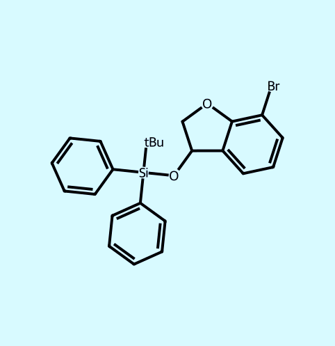 CC(C)(C)[Si](OC1COc2c(Br)cccc21)(c1ccccc1)c1ccccc1